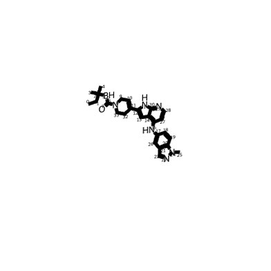 CCC(C)(C)BC(=O)N1CC=C(c2cc3c(Nc4ccc5c(cnn5C)c4)ccnc3[nH]2)CC1